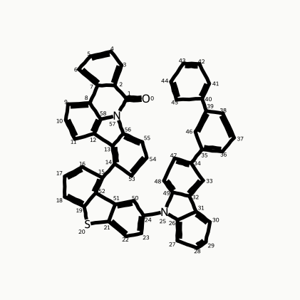 O=c1c2ccccc2c2cccc3c4c(-c5cccc6sc7ccc(-n8c9ccccc9c9cc(-c%10cccc(-c%11ccccc%11)c%10)ccc98)cc7c56)cccc4n1c23